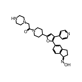 O=C(CN1CCNCC1)N1CCC(c2cc(-c3ccncc3)c(-c3ccc4c(c3)CC/C4=N\O)o2)CC1